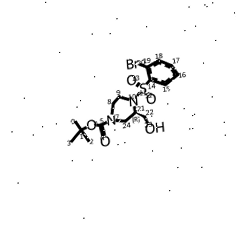 CC(C)(C)OC(=O)N1CCN(S(=O)(=O)c2ccccc2Br)[C@@H](CO)C1